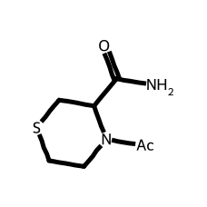 CC(=O)N1CCSCC1C(N)=O